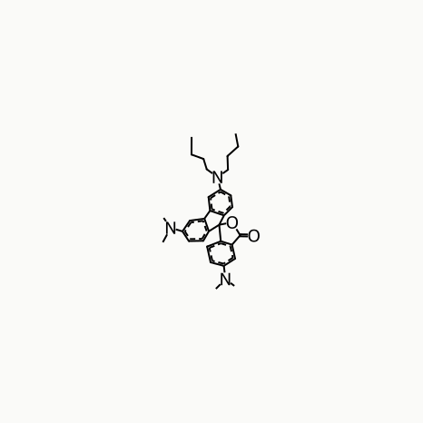 CCCCN(CCCC)c1ccc2c(c1)-c1cc(N(C)C)ccc1C21OC(=O)c2cc(N(C)C)ccc21